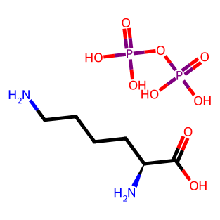 NCCCC[C@H](N)C(=O)O.O=P(O)(O)OP(=O)(O)O